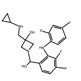 OC(c1ccc(F)c(F)c1Nc1ccc(I)cc1F)N1CC(O)(CNC2CC2)C1